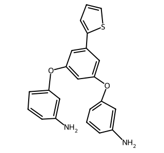 Nc1cccc(Oc2cc(Oc3cccc(N)c3)cc(-c3cccs3)c2)c1